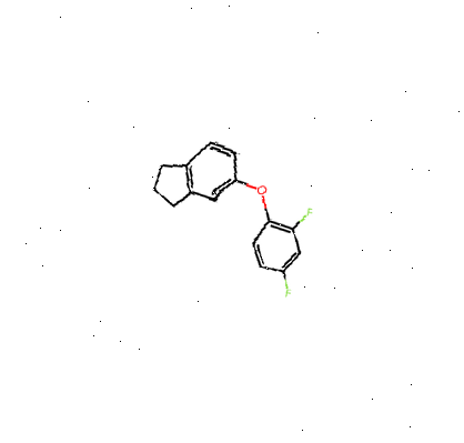 Fc1ccc(Oc2[c]cc3c(c2)CCC3)c(F)c1